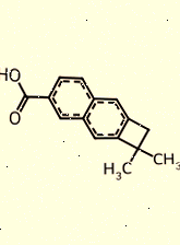 CC1(C)Cc2cc3ccc(C(=O)O)cc3cc21